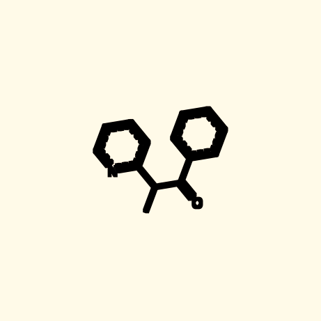 CC(C(=O)c1ccccc1)c1ccccn1